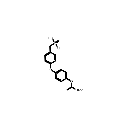 COC(C)Oc1ccc(Oc2ccc(CP(=O)(O)O)cc2)cc1